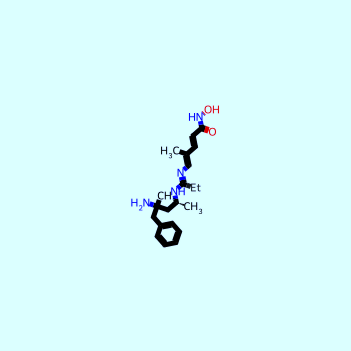 CC\C(=N/C=C(C)/C=C/C(=O)NO)N[C@H](C)CC(C)(N)Cc1ccccc1